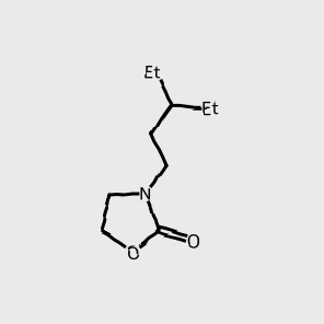 CCC(CC)CCN1CCOC1=O